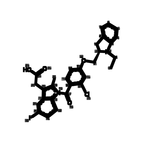 CCN1c2ccccc2C[C@@H]1COc1ccc(C(=O)n2c(C)c(CC(=O)O)c3cc(F)ccc32)c(Cl)c1